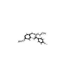 COc1ccc(CN(CCO)C(=O)c2ccc(F)cc2)cc1